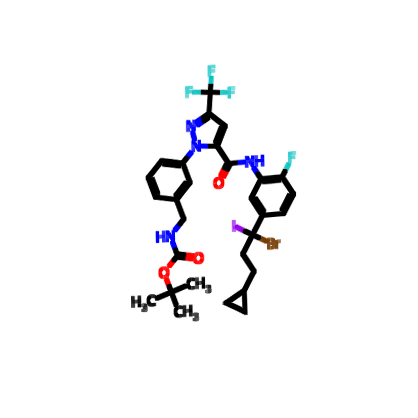 CC(C)(C)OC(=O)NCc1cccc(-n2nc(C(F)(F)F)cc2C(=O)Nc2cc(C(Br)(I)CCC3CC3)ccc2F)c1